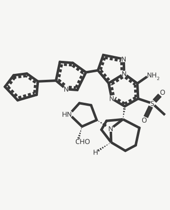 CS(=O)(=O)c1c([C@@]23CCC[C@@H](CC2)N3[C@H]2CCN[C@H]2C=O)nc2c(-c3ccc(-c4ccccc4)nc3)cnn2c1N